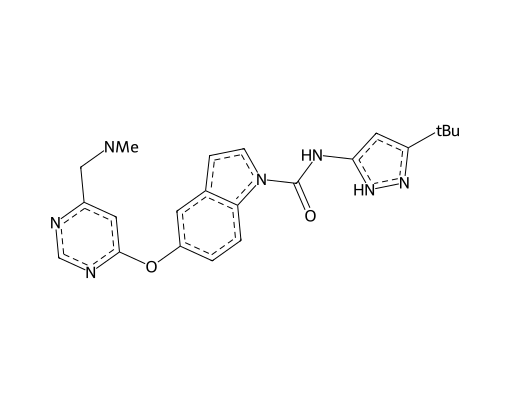 CNCc1cc(Oc2ccc3c(ccn3C(=O)Nc3cc(C(C)(C)C)n[nH]3)c2)ncn1